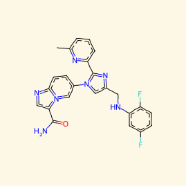 Cc1cccc(-c2nc(CNc3cc(F)ccc3F)cn2-c2ccc3ncc(C(N)=O)n3c2)n1